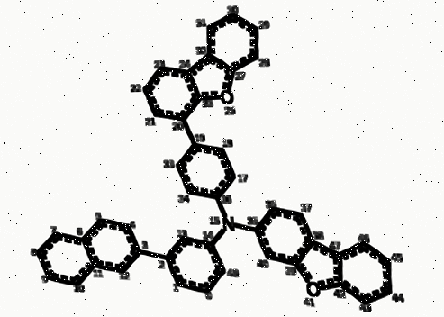 c1cc(-c2ccc3ccccc3c2)cc(N(c2ccc(-c3cccc4c3oc3ccccc34)cc2)c2ccc3c(c2)oc2ccccc23)c1